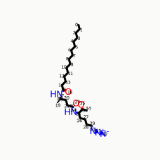 CCCCCCCCCCCCCCCC(=O)N[C@H](C)CCC(=O)NC(CCCCN=[N+]=[N-])C(C)=O